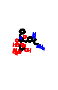 NCCc1c[nH]c2ccc(CC3CC(=O)N(Cc4ccccc4)C3=O)cc12.O.O.O=C(O)/C=C\C(=O)O